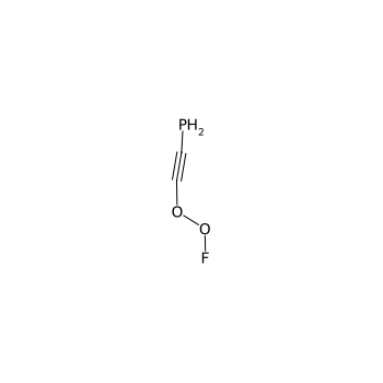 FOOC#CP